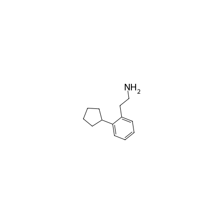 NCCc1ccccc1C1CCCC1